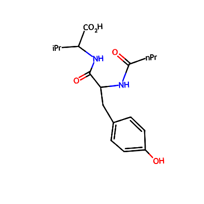 CCCC(=O)NC(Cc1ccc(O)cc1)C(=O)NC(C(=O)O)C(C)C